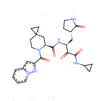 O=C(NC1CC1)C(=O)[C@H](C[C@@H]1CCNC1=O)NC(=O)[C@@H]1CC2(CCN1C(=O)c1cc3ccccn3n1)CC2